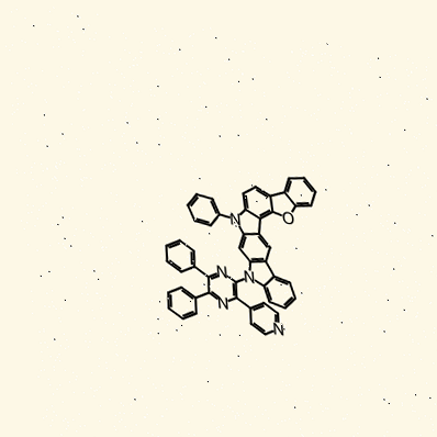 c1ccc(-c2nc(-c3ccncc3)c(-n3c4ccccc4c4cc5c6c7oc8ccccc8c7ccc6n(-c6ccccc6)c5cc43)nc2-c2ccccc2)cc1